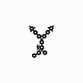 Cc1cc(C)c(-c2ccc(-c3ccc4c(c3)c3cc(-c5ccc(-c6c(C)cc(C)cc6C)cc5)ccc3n4-c3ccc(-c4ccc(N(c5ccccc5)c5ccc(-c6ccccc6)cc5)c5nsnc45)cc3)cc2)c(C)c1